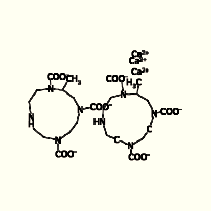 CC1CN(C(=O)[O-])CCN(C(=O)[O-])CCNCCN1C(=O)[O-].CC1CN(C(=O)[O-])CCN(C(=O)[O-])CCNCCN1C(=O)[O-].[Ca+2].[Ca+2].[Ca+2]